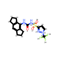 O=C(Nc1c2c(cc3c1CCC3)CCC2)NS(=O)(=O)c1ccn(C(F)(F)F)n1